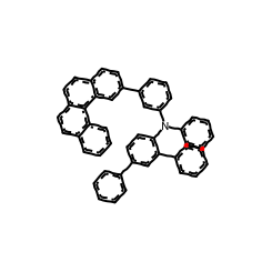 c1ccc(-c2ccc(N(c3ccccc3)c3cccc(-c4ccc5ccc6ccc7ccccc7c6c5c4)c3)c(-c3ccccc3)c2)cc1